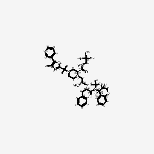 Cc1nc(C(C)(C)N2CCN(C[C@@H](O)C[C@@H](Cc3ccccc3)C(=O)N3[C@H]4c5ccccc5OC[C@H]4OC3(C)C)[C@H](C(=O)NCC(F)(F)F)C2)oc1-c1cccnc1